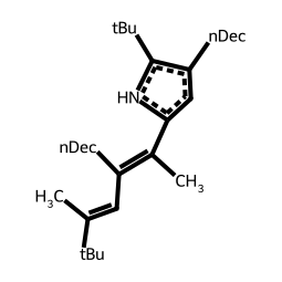 CCCCCCCCCCC(/C=C(\C)C(C)(C)C)=C(/C)c1cc(CCCCCCCCCC)c(C(C)(C)C)[nH]1